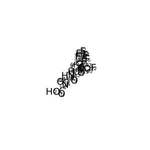 O=C(O)CCN1C[C@@H](C(=O)N[C@@H]2CC[C@@]3(S(=O)(=O)c4ccc(F)cc4)c4ccc(C(F)(C(F)(F)F)C(F)(F)F)cc4CC[C@@H]23)CC1=O